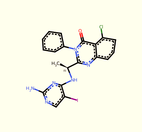 C[C@H](Nc1nc(N)ncc1I)c1nc2cccc(Cl)c2c(=O)n1-c1ccccc1